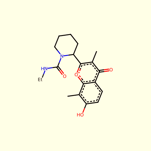 CCNC(=O)N1CCCCC1c1oc2c(C)c(O)ccc2c(=O)c1C